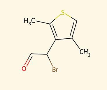 Cc1csc(C)c1C(Br)C=O